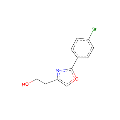 OCCc1coc(-c2ccc(Br)cc2)n1